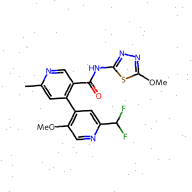 COc1nnc(NC(=O)c2cnc(C)cc2-c2cc(C(F)F)ncc2OC)s1